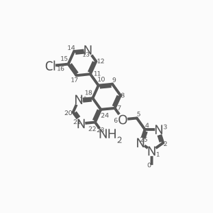 Cn1cnc(COc2ccc(-c3cncc(Cl)c3)c3ncnc(N)c23)n1